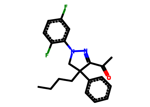 CCCCC1(c2ccccc2)CN(c2cc(F)ccc2F)N=C1C(C)=O